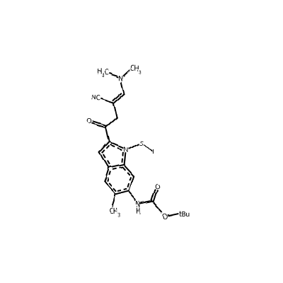 Cc1cc2cc(C(=O)C/C(C#N)=C/N(C)C)n(SI)c2cc1NC(=O)OC(C)(C)C